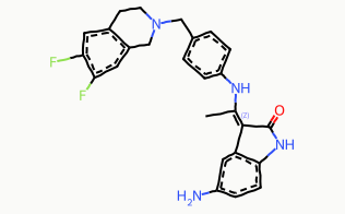 C/C(Nc1ccc(CN2CCc3cc(F)c(F)cc3C2)cc1)=C1/C(=O)Nc2ccc(N)cc21